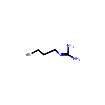 CCCCCCCN=C(N)N